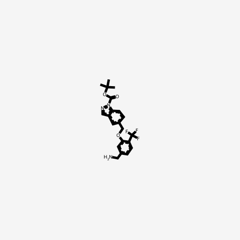 CC(C)(C)OC(=O)n1ncc2cc(COc3cc(CN)ccc3C(F)(F)F)ccc21